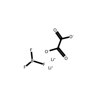 FB(F)F.O=C([O-])C(=O)[O-].[Li+].[Li+]